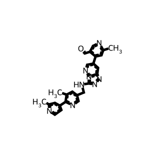 Cc1cc(-c2ncc(CNc3nnc4cc(-c5cc(C)ncc5C=O)cnn34)cc2C)ccn1